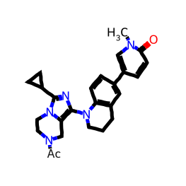 CC(=O)N1CCn2c(C3CC3)nc(N3CCCc4cc(-c5ccc(=O)n(C)c5)ccc43)c2C1